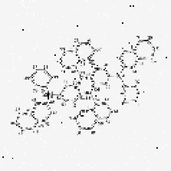 c1ccc(N(c2ccc3ccccc3c2)c2ccc3c(-c4cccc5ccccc45)c4cc(N(c5ccccc5)c5ccc6ccccc6c5)ccc4c(-c4cccc5ccccc45)c3c2)cc1